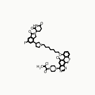 C=C(Cl)C(=O)N1CCN(c2ncnc3c(F)c(-c4c(F)cccc4OCCCCCCCN4CCC(c5cc(F)cc6c5CN(C5CCC(=O)NC5=O)C6=O)C4)c(Cl)cc23)CC1